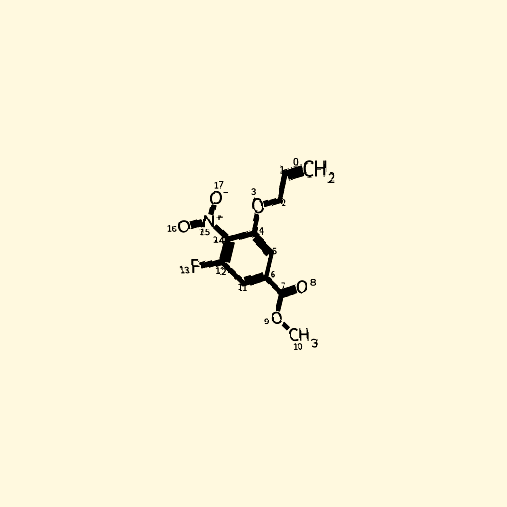 C=CCOc1cc(C(=O)OC)cc(F)c1[N+](=O)[O-]